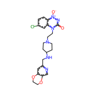 O=c1n[n+]([O-])c2ccc(Cl)cc2n1CCN1CCC(NCc2cc3c(cn2)OCCO3)CC1